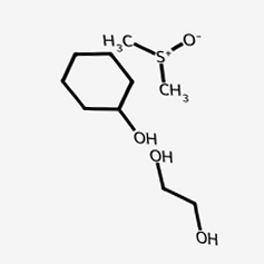 C[S+](C)[O-].OC1CCCCC1.OCCO